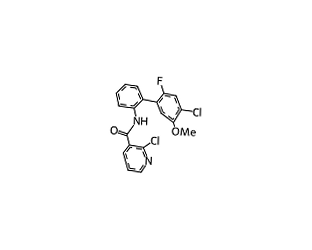 COc1cc(-c2ccccc2NC(=O)c2cccnc2Cl)c(F)cc1Cl